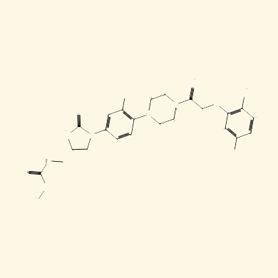 CSC(=O)NC[C@H]1CN(c2ccc(N3CCN(C(=O)CSc4cc(Cl)ccc4Cl)CC3)c(F)c2)C(=O)O1